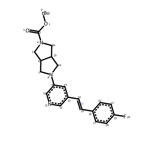 CC(C)(C)OC(=O)N1CC2CN(c3cncc(/C=C/c4ccc(F)cc4)c3)CC2C1